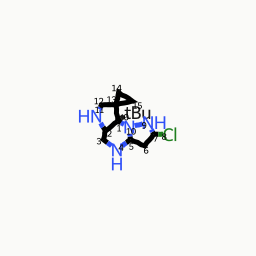 CC(C)(C)C12C(CNC3CC(Cl)NN31)NCC21CC1